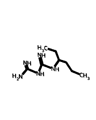 CCCC(CC)NC(=N)NC(=N)N